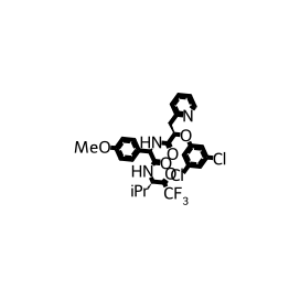 COc1ccc([C@H](NC(=O)[C@@H](Cc2ccccn2)Oc2cc(Cl)cc(Cl)c2)C(=O)N[C@H](C(=O)C(F)(F)F)C(C)C)cc1